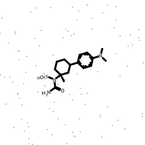 CCCCCCCCN(C(N)=O)C1(C)CCCC(c2ccc(N(C)C)cc2)C1